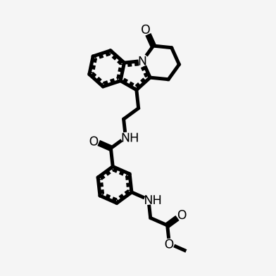 COC(=O)CNc1cccc(C(=O)NCCc2c3n(c4ccccc24)C(=O)CCC3)c1